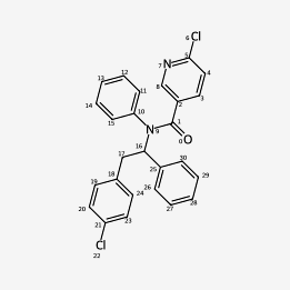 O=C(c1ccc(Cl)nc1)N(c1ccccc1)C(Cc1ccc(Cl)cc1)c1ccccc1